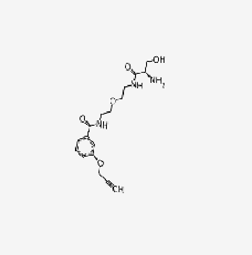 C#CCOc1cccc(C(=O)NCCOCCNC(=O)[C@H](N)CO)c1